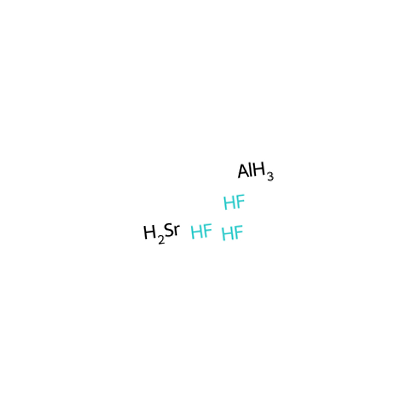 F.F.F.[AlH3].[SrH2]